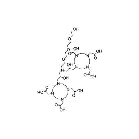 O=C(O)CN1CCN(CC(=O)O)CCN(CC(O)CN(CCOCCOCCOCCO)CC(O)CN2CCN(CC(=O)O)CCN(CC(=O)O)CCN(C(=O)O)CC2)CCN(CC(=O)O)CC1